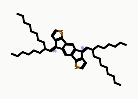 CCCCCCCCC(/C=C1/c2cc3c(cc2-c2sccc21)/C(=C/C(CCCCCC)CCCCCCCC)c1ccsc1-3)CCCCCC